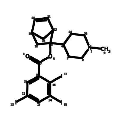 CN1CCC(C2(OC(=O)c3cc(I)cc(I)c3I)CC3C=CC2C3)CC1